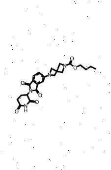 CCCCOC(=O)N1CC2(C1)CN(c1ccc3c(c1)C(=O)N(C1CCC(=O)NC1=O)C3=O)C2